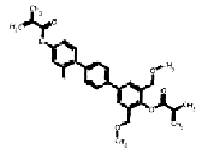 C=C(C)C(=O)Oc1ccc(-c2ccc(-c3cc(COC)c(OC(=O)C(=C)C)c(COC)c3)cc2)c(F)c1